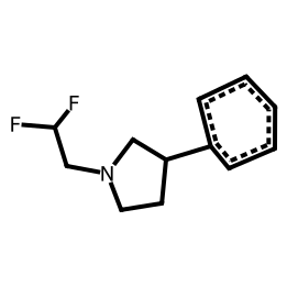 FC(F)CN1CCC(c2ccccc2)C1